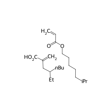 C=C(CC(CC)CCCC)C(=O)O.C=CC(=O)OCCCCCC(C)C